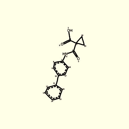 O=C(O)C1(C(=O)Nc2ccc(-c3ccccc3)cc2)CC1